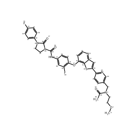 COCCN(Cc1ccc(-c2cc3nccc(Oc4ccc(NC(=O)N5CCN(c6ccc(F)cc6)C5=O)cc4F)c3s2)nc1)C(C)=O